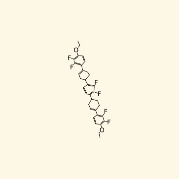 CCOc1ccc(C2=CCC(c3ccc(C4CC=C(c5ccc(OCC)c(F)c5F)CC4)c(F)c3F)CC2)c(F)c1F